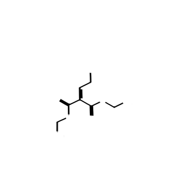 CCOC(=O)C(=CCI)C(=O)OCC